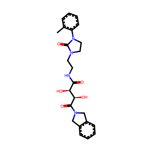 Cc1ccccc1N1CCN(CCNC(=O)[C@H](O)[C@@H](O)C(=O)N2Cc3ccccc3C2)C1=O